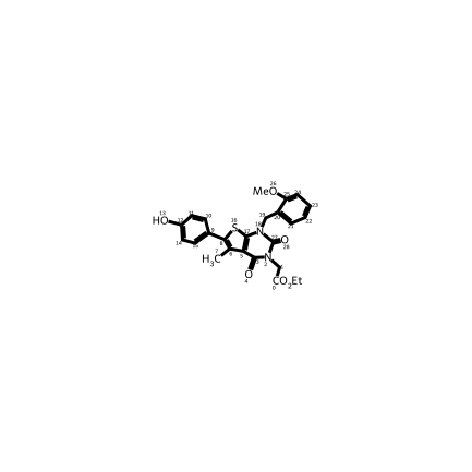 CCOC(=O)Cn1c(=O)c2c(C)c(-c3ccc(O)cc3)sc2n(Cc2ccccc2OC)c1=O